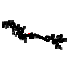 COc1ccc(C(=O)N2CCN(CCCCNCc3ccc(-c4cc5c(-c6cc(F)cc(NC(=O)c7ccc(C(C)(C)O)cc7F)c6C)ncnc5[nH]4)cc3)CC2)cc1N1CCC(=O)NC1=O